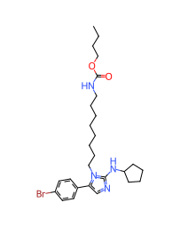 CCCCOC(=O)NCCCCCCCCn1c(-c2ccc(Br)cc2)cnc1NC1CCCC1